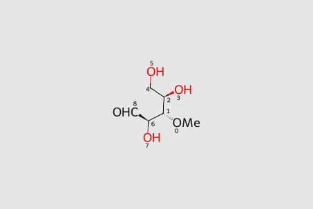 CO[C@@H]([C@H](O)CO)[C@@H](O)C=O